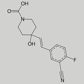 N#Cc1cc(C=CC2(O)CCN(C(=O)O)CC2)ccc1F